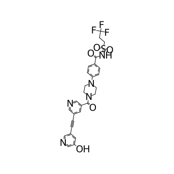 O=C(NS(=O)(=O)CCC(F)(F)F)c1ccc(N2CCN(C(=O)c3cncc(C#Cc4cncc(O)c4)c3)CC2)cc1